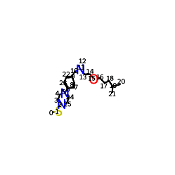 CSN1CCN(c2ccc(CN(C)CCOCCCC(C)C)cc2)CC1